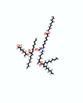 CCCCCCCCC(CCCCCCCC)C(=O)OC(C)CCCCCCO.CCCCCCCCCOC(=O)CCCCCCCN(CCO)CCCCCCC(C)OC(=O)C(CCCCCCCC)CCCCCCCC